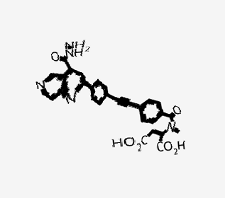 CN(C(=O)c1ccc(C#Cc2ccc(-c3cc(C(=O)NN)c4cnccc4n3)cc2)cc1)C(CC(=O)O)C(=O)O